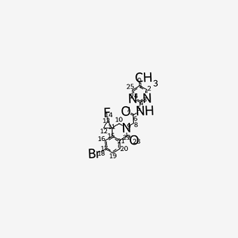 Cc1cnc(NC(=O)CN2CC3(CC3F)c3cc(Br)ccc3C2=O)nc1